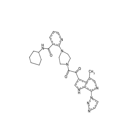 Cc1cnc(-n2ccnn2)c2[nH]cc(C(=O)C(=O)N3CCN(c4ncccc4C(=O)NC4CCCCC4)CC3)c12